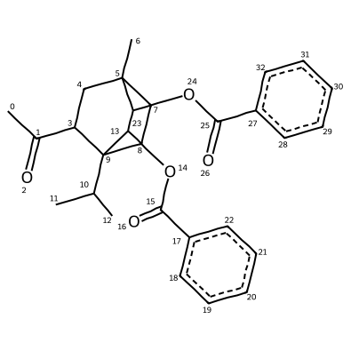 CC(=O)C1CC2(C)CCC1(C(C)C)C(OC(=O)c1ccccc1)C2OC(=O)c1ccccc1